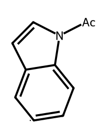 CC(=O)n1ccc2c[c]ccc21